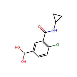 O=C(NC1CC1)c1cc(B(O)O)ccc1Cl